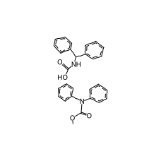 COC(=O)N(c1ccccc1)c1ccccc1.O=C(O)NC(c1ccccc1)c1ccccc1